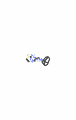 c1cn2cc(CNC34CC5CC(CC(C5)C3)C4)nc2s1